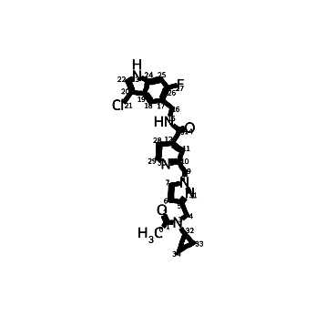 CC(=O)N(Cc1ccn(Cc2cc(C(=O)NCc3cc4c(Cl)c[nH]c4cc3F)ccn2)n1)C1CC1